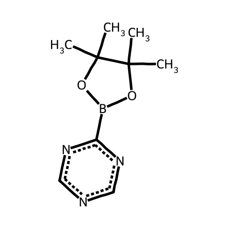 CC1(C)OB(c2ncncn2)OC1(C)C